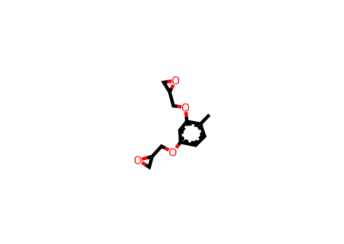 Cc1ccc(OCC2CO2)cc1OCC1CO1